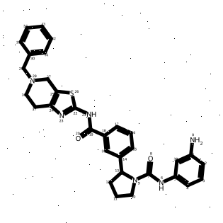 Nc1cccc(NC(=O)N2CCCC2c2cccc(C(=O)Nc3nc4c(s3)CN(Cc3ccccc3)CC4)c2)c1